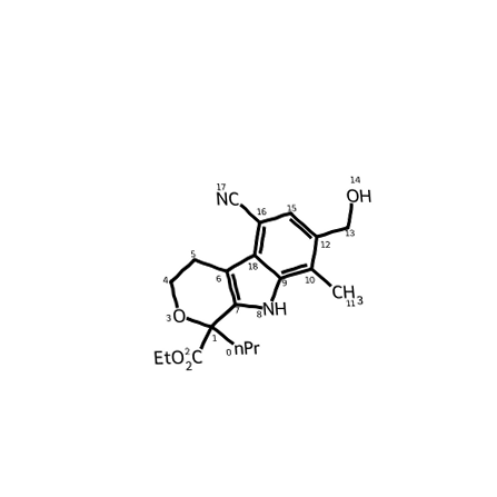 CCCC1(C(=O)OCC)OCCc2c1[nH]c1c(C)c(CO)cc(C#N)c21